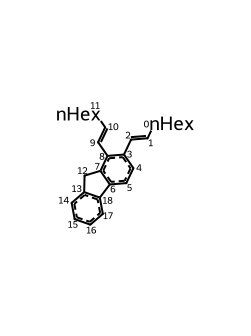 CCCCCCC=Cc1ccc2c(c1C=CCCCCCC)Cc1ccccc1-2